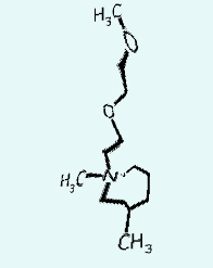 COCCOCC[N+]1(C)CCCC(C)C1